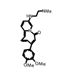 CNCCNC1=CN2C(=O)\C=C(c3ccc(OC)c(OC)c3)/C=C/C=C/2C=C1